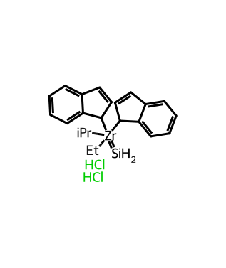 C[CH2][Zr](=[SiH2])([CH](C)C)([CH]1C=Cc2ccccc21)[CH]1C=Cc2ccccc21.Cl.Cl